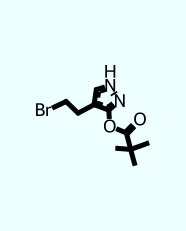 CC(C)(C)C(=O)Oc1n[nH]cc1CCBr